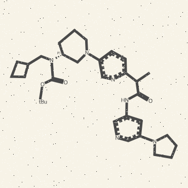 CC(C(=O)Nc1cncc(N2CCCC2)c1)c1ccc(N2CCC[C@@H](N(CC3CCC3)C(=O)OC(C)(C)C)C2)cn1